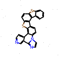 c1ccc2c(c1)sc1ccc3sc4c(ccc5c4c4ccncc4c4nccn54)c3c12